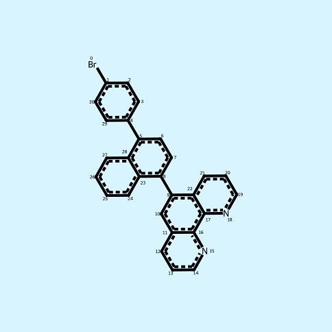 Brc1ccc(-c2ccc(-c3cc4cccnc4c4ncccc34)c3ccccc23)cc1